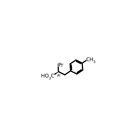 Cc1ccc(C[C@@H](C(=O)O)C(C)C)cc1